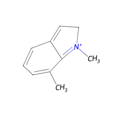 Cc1cccc2c1=[N+](C)CC=2